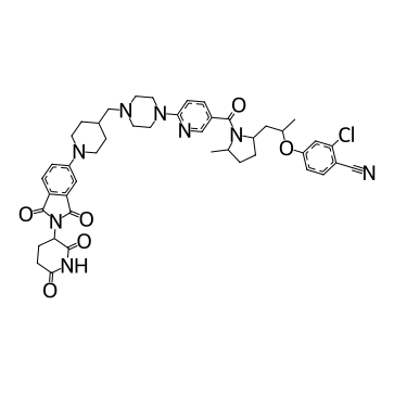 CC(CC1CCC(C)N1C(=O)c1ccc(N2CCN(CC3CCN(c4ccc5c(c4)C(=O)N(C4CCC(=O)NC4=O)C5=O)CC3)CC2)nc1)Oc1ccc(C#N)c(Cl)c1